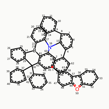 c1ccc(-c2cccc(-c3ccccc3)c2N2c3ccccc3B3c4ccccc4C(c4ccccc4)(c4ccccc4)c4cc(-c5ccc6oc7ccccc7c6c5)cc2c43)cc1